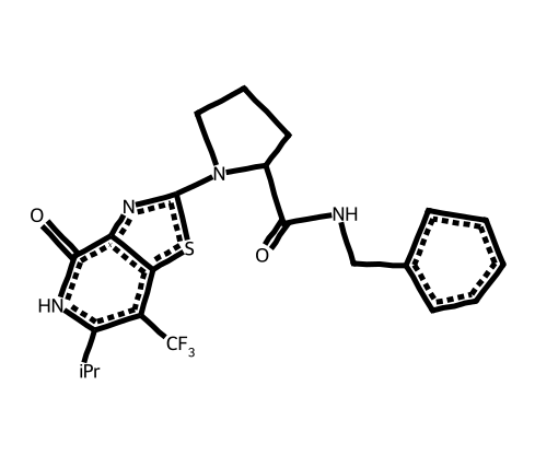 CC(C)c1[nH]c(=O)c2nc(N3CCCC3C(=O)NCc3ccccc3)sc2c1C(F)(F)F